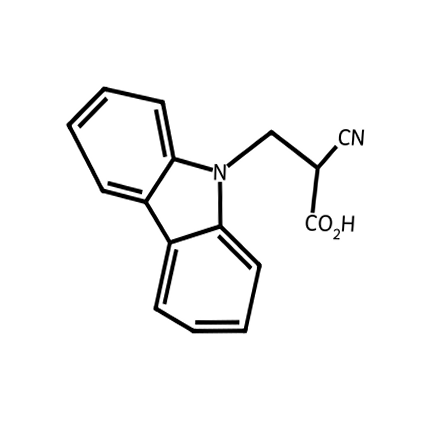 N#CC(Cn1c2ccccc2c2ccccc21)C(=O)O